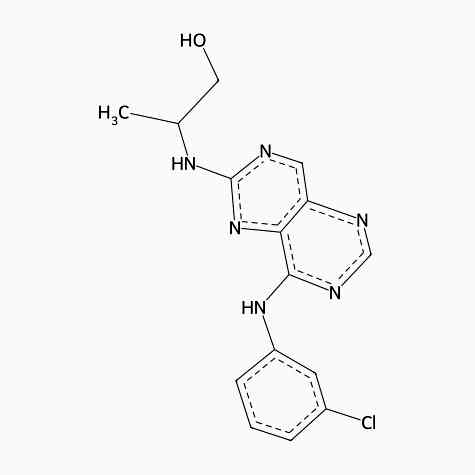 CC(CO)Nc1ncc2ncnc(Nc3cccc(Cl)c3)c2n1